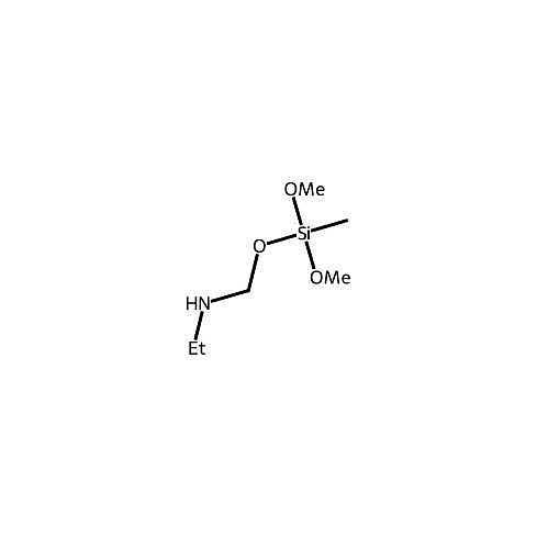 CCNCO[Si](C)(OC)OC